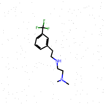 CN(C)CCNCCc1cccc(C(F)(F)F)c1